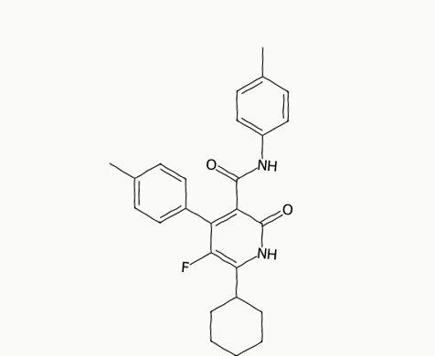 Cc1ccc(NC(=O)c2c(-c3ccc(C)cc3)c(F)c(C3CCCCC3)[nH]c2=O)cc1